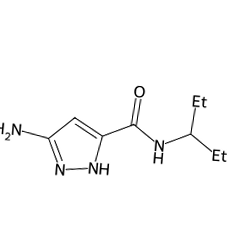 CCC(CC)NC(=O)c1cc(N)n[nH]1